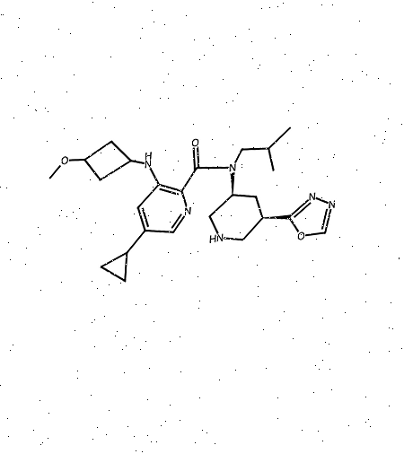 COC1CC(Nc2cc(C3CC3)cnc2C(=O)N(CC(C)C)[C@@H]2CNC[C@H](c3nnco3)C2)C1